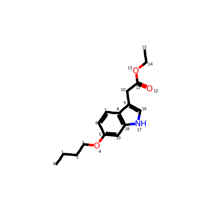 CCCCOc1ccc2c(CC(=O)OCC)c[nH]c2c1